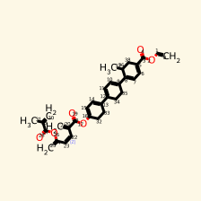 C=COC(=O)C1=CC=C(C2=CC=C(C3=CC=C(OC(=O)C(=C)/C=C\C(=C)OC(=O)C(=C)C)CC3)CC2)C(C)C1